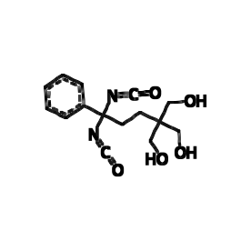 O=C=NC(CCC(CO)(CO)CO)(N=C=O)c1ccccc1